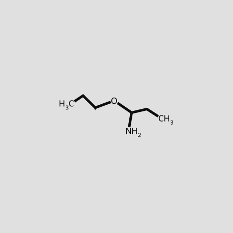 CC[CH]OC(N)CC